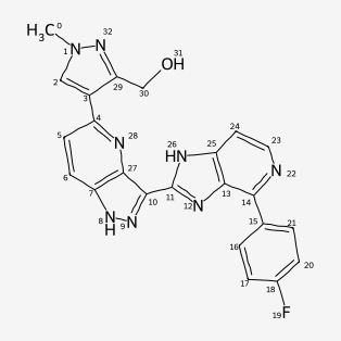 Cn1cc(-c2ccc3[nH]nc(-c4nc5c(-c6ccc(F)cc6)nccc5[nH]4)c3n2)c(CO)n1